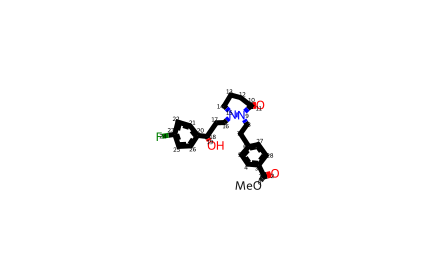 COC(=O)c1ccc(CCN2C(=O)CCCN2CCC(O)c2ccc(F)cc2)cc1